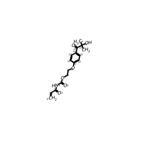 C=CC(=O)NC(=O)OCCOc1ccc(C(=O)C(C)(C)O)cc1